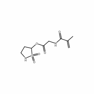 C=C(C)C(=O)NCC(=O)OC1CCNS1(=O)=O